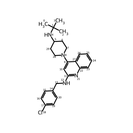 CC(C)(C)NC1CCN(c2cc(NCc3ccc(Cl)cc3)nc3ccccc23)CC1